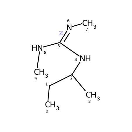 CCC(C)N/C(=N\C)NC